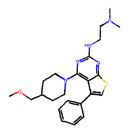 COCC1CCN(c2nc(NCCN(C)C)nc3scc(-c4ccccc4)c23)CC1